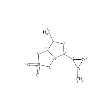 CC1CC(C2OC2C)C2CS(=O)(=O)CC12